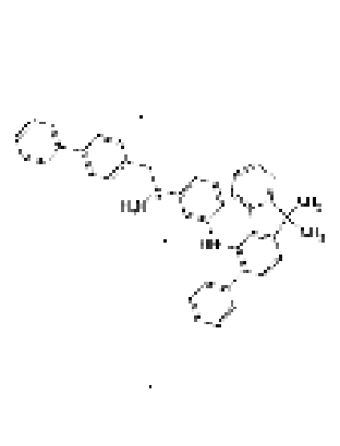 CC1(C)c2ccccc2-c2c1ccc(-c1ccccc1)c2Nc1cccc([C@H](N)Cc2ccc(-c3ccccc3)cc2)c1